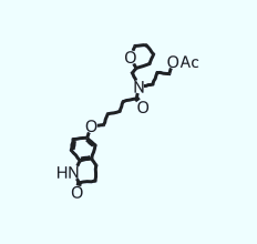 CC(=O)OCCCN(CC1CCCCO1)C(=O)CCCCOc1ccc2c(c1)CCC(=O)N2